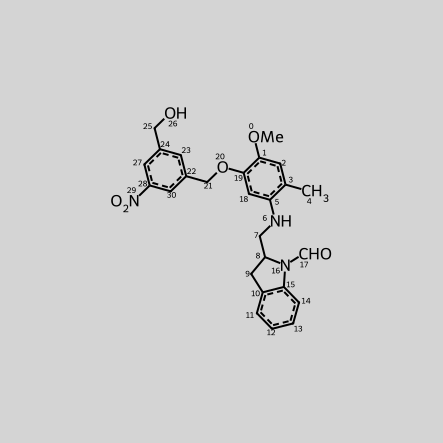 COc1cc(C)c(NCC2Cc3ccccc3N2C=O)cc1OCc1cc(CO)cc([N+](=O)[O-])c1